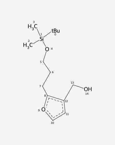 CC(C)(C)[Si](C)(C)OCCCc1occc1CO